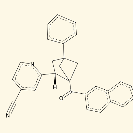 N#Cc1ccnc([C@@H]2CC3(c4ccccc4)CC2(C(=O)c2ccc4ccccc4c2)C3)c1